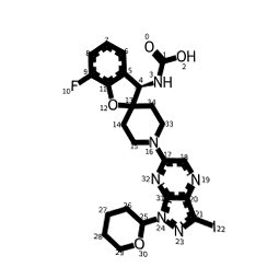 O=C(O)N[C@@H]1c2cccc(F)c2OC12CCN(c1cnc3c(I)nn(C4CCCCO4)c3n1)CC2